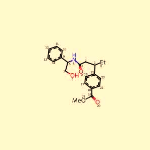 CCC(CC(=O)NC(CO)c1ccccc1)c1ccc(C(=O)OC)cc1